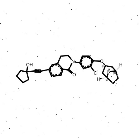 CN1[C@@H]2CC[C@H]1C[C@@H](Oc1ccc(N3CCc4cc(C#CC5(O)CCCC5)ccc4C3=O)cc1Cl)C2